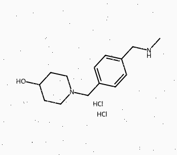 CNCc1ccc(CN2CCC(O)CC2)cc1.Cl.Cl